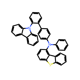 c1ccc(N(c2ccc(-c3ccccc3-n3c4ccccc4c4ccccc43)cc2)c2cccc3sc4ccccc4c23)cc1